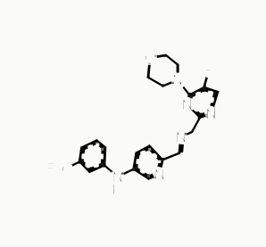 Fc1cnc(C/N=C/c2ccc(Nc3cccc(C(F)(F)F)c3)cn2)nc1N1CCOCC1